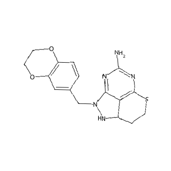 Nc1nc2c3c(n1)N(Cc1ccc4c(c1)OCCO4)NC3CCS2